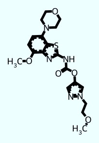 COCCn1cc(OC(=O)Nc2nc3c(OC)ccc(N4CCOCC4)c3s2)cn1